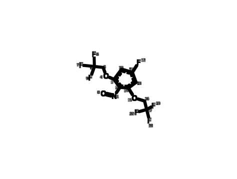 O=Nc1c(OCC(F)(F)F)cc(F)cc1OCC(F)(F)F